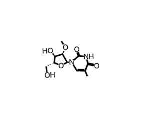 CO[C@H]1[C@H](O)[C@@H](CO)O[C@@H]1n1cc(C)c(=O)[nH]c1=O